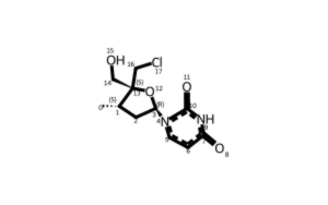 C[C@H]1C[C@H](n2ccc(=O)[nH]c2=O)O[C@@]1(CO)CCl